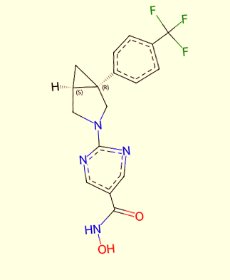 O=C(NO)c1cnc(N2C[C@H]3C[C@@]3(c3ccc(C(F)(F)F)cc3)C2)nc1